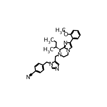 CCC(C)[C@H]1c2nc(-c3ccccc3OC)cn2CCN1Cc1cncn1Cc1ccc(C#N)cc1